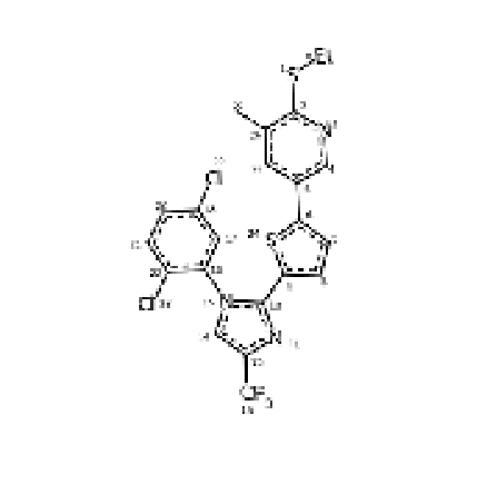 CCSc1ncc(-c2ccc(-c3nc(C(F)(F)F)cn3-c3cc(Cl)ccc3Cl)s2)cc1C